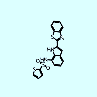 O=S(=O)(Nc1cccc2cc(-c3nc4ccccc4s3)[nH]c12)c1cccs1